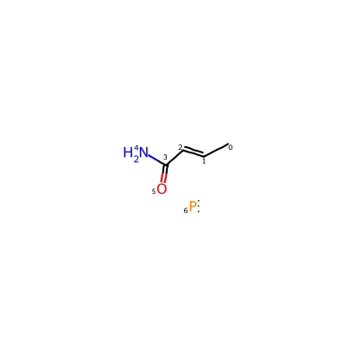 C/C=C/C(N)=O.[P]